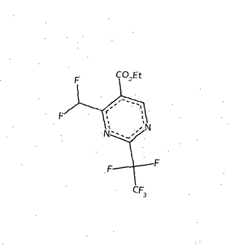 CCOC(=O)c1cnc(C(F)(F)C(F)(F)F)nc1C(F)F